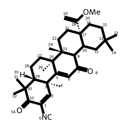 [C-]#[N+]C1=C[C@]2(C)C3=CC(=O)C4C5CC(C)(C)CC[C@]5(C(=C)OC)CC[C@@]4(C)[C@]3(C)CC[C@H]2C(C)(C)C1=O